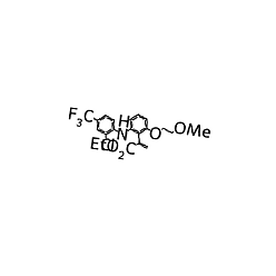 C=C(C(=O)OCC)c1c(Nc2ccc(C(F)(F)F)cc2Cl)cccc1OCCOC